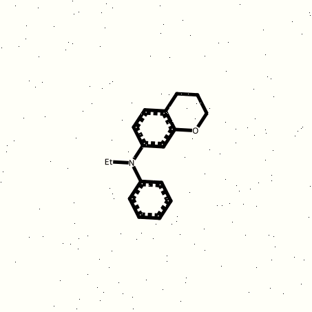 CCN(c1ccccc1)c1ccc2c(c1)OCCC2